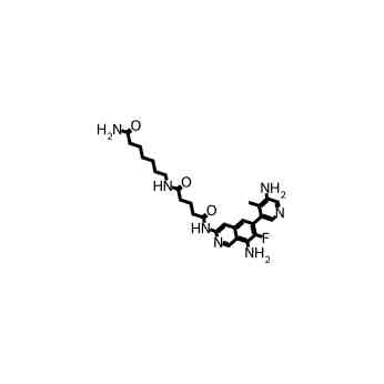 Cc1c(N)cncc1-c1cc2cc(NC(=O)CCCC(=O)NCCCCCCC(N)=O)ncc2c(N)c1F